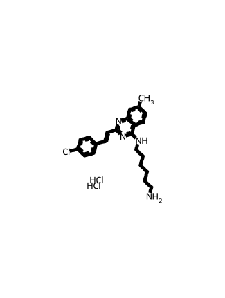 Cc1ccc2c(NCCCCCCN)nc(/C=C/c3ccc(Cl)cc3)nc2c1.Cl.Cl